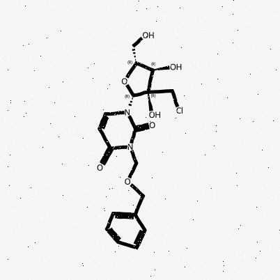 O=c1ccn([C@@H]2O[C@H](CO)[C@@H](O)[C@]2(O)CCl)c(=O)n1COCc1ccccc1